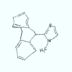 Cn1ccnc1C1c2ccccc2-c2ccccc21